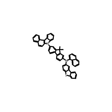 CC1(C)c2cc(N(c3ccc4sc5ccccc5c4c3)c3cccc4ccccc34)ccc2-c2ccc(-n3c4ccccc4c4c5ccccc5ccc43)cc21